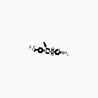 CC#C[C@H]1CN(S(=O)(=O)c2ccc(N)nc2)CCN1c1ccc([C@@H](C)C(F)(F)F)cc1